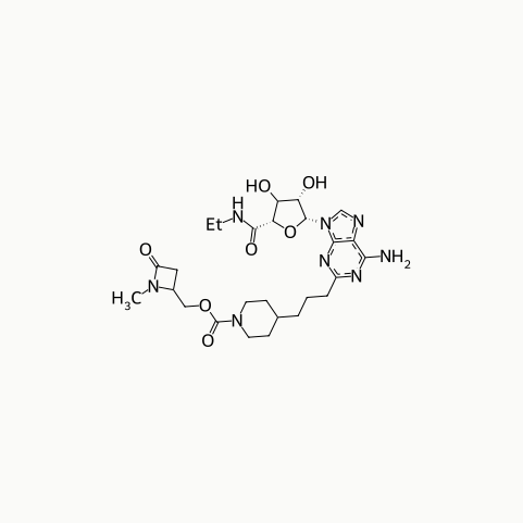 CCNC(=O)[C@H]1O[C@@H](n2cnc3c(N)nc(CCCC4CCN(C(=O)OCC5CC(=O)N5C)CC4)nc32)[C@@H](O)C1O